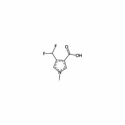 Cn1cc(C(=O)O)c(C(F)F)c1